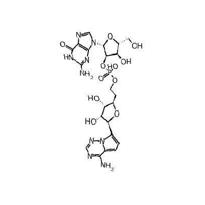 Nc1nc2c(ncn2[C@@H]2O[C@H](CO)[C@@H](O)[C@H]2OP(=O)(O)OCC[C@H]2O[C@@H](c3ccc4c(N)ncnn34)[C@H](O)[C@@H]2O)c(=O)[nH]1